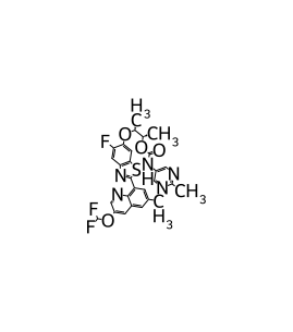 Cc1cc(-c2nc3cc(F)c(O[C@@H](C)[C@@H](C)OC(=O)Nc4cnc(C)nc4)cc3s2)c2ncc(OC(F)F)cc2c1